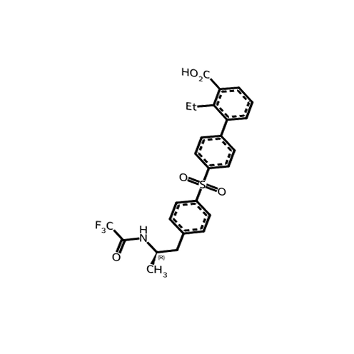 CCc1c(C(=O)O)cccc1-c1ccc(S(=O)(=O)c2ccc(C[C@@H](C)NC(=O)C(F)(F)F)cc2)cc1